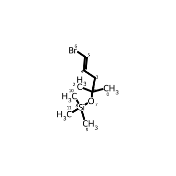 CC(C)(CC=CBr)O[Si](C)(C)C